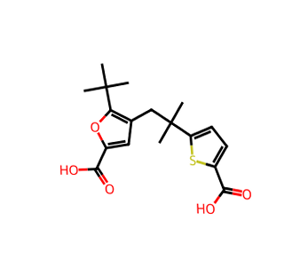 CC(C)(C)c1oc(C(=O)O)cc1CC(C)(C)c1ccc(C(=O)O)s1